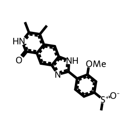 COc1cc([S+](C)[O-])ccc1-c1nc2cc3c(=O)[nH]c(C)c(C)c3cc2[nH]1